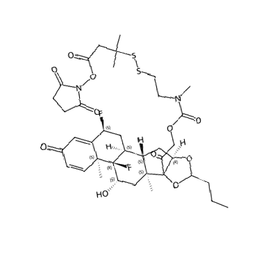 CCCC1O[C@@H]2C[C@H]3[C@@H]4C[C@H](F)C5=CC(=O)C=C[C@]5(C)[C@@]4(F)[C@@H](O)C[C@]3(C)C2(C(=O)COC(=O)N(C)CCSSC(C)(C)CC(=O)ON2C(=O)CCC2=O)O1